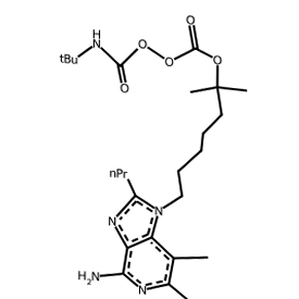 CCCc1nc2c(N)nc(C)c(C)c2n1CCCCCC(C)(C)OC(=O)OOC(=O)NC(C)(C)C